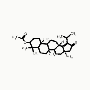 CC(=O)O[C@H]1CC[C@@]2(C)C(CC[C@@]3(C)C4CC[C@@]5(N)CC(=O)C(C(C)C)=C5[C@H]4CCC32)C1(C)C